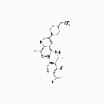 Cc1nnc(N[C@H](C)c2cccc(C(F)F)c2F)c2cc(N3CCN(CC(F)(F)F)CC3)cnc12